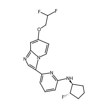 FC(F)COc1ccn2c(-c3cccc(N[C@H]4CCC[C@@H]4F)n3)cnc2c1